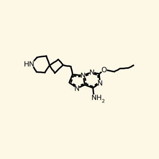 CCCCOc1nc(N)c2ncc(CC3CC4(CCNCC4)C3)n2n1